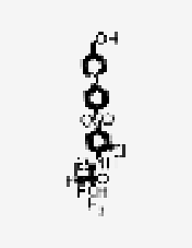 C[C@@](O)(C(=O)Nc1ccc(S(=O)(=O)c2ccc(N3CCC(CO)CC3)cc2)cc1Cl)C(F)(F)F